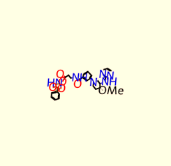 CO[C@@H]1CCN(c2cccc(C(=O)NCCC(=O)ONS(=O)(=O)c3ccccc3)c2)C[C@H]1Nc1ncccn1